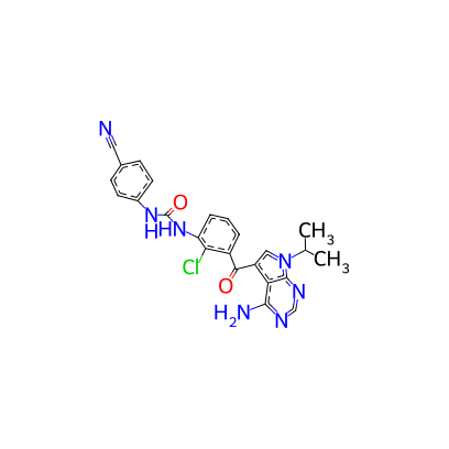 CC(C)n1cc(C(=O)c2cccc(NC(=O)Nc3ccc(C#N)cc3)c2Cl)c2c(N)ncnc21